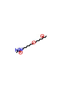 CCC(=O)CCCCCOCCCCCCCNC(=O)C(C)C